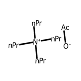 CC(=O)[O-].CCC[N+](CCC)(CCC)CCC